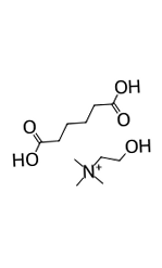 C[N+](C)(C)CCO.O=C(O)CCCCC(=O)O